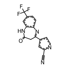 N#Cc1cc(C2=Nc3ccc(C(F)(F)F)cc3NC(=O)C2)ccn1